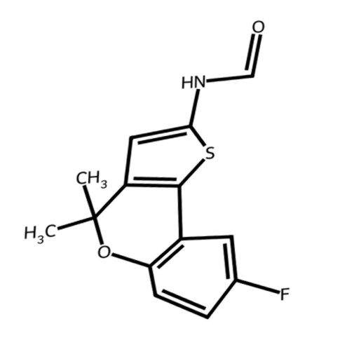 CC1(C)Oc2ccc(F)cc2-c2sc(NC=O)cc21